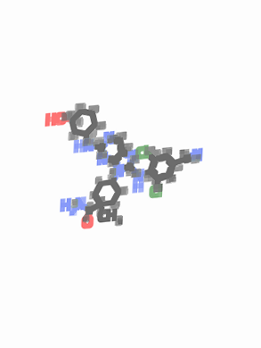 CC1(C(N)=O)CCC(n2c(Nc3c(Cl)cc(C#N)cc3Cl)nc3cnc(NC4CCC[C@@H](O)C4)nc32)CC1